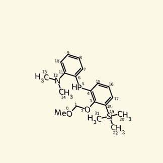 COCOc1c(Pc2ccccc2N(C)C)cccc1[Si](C)(C)C